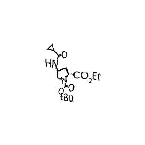 CCOC(=O)[C@H]1C[C@H](NC(=O)C2CC2)CN1C(=O)OC(C)(C)C